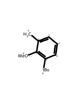 [CH2]c1cccc(C(C)(C)C)c1OC